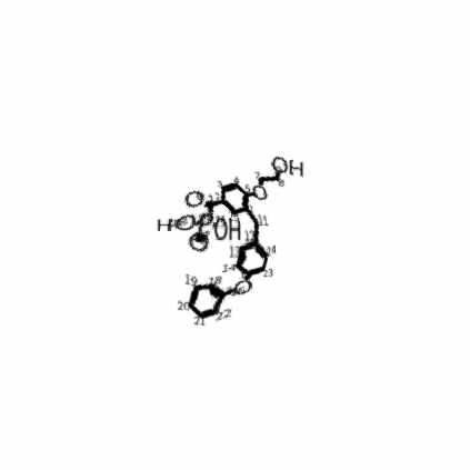 O=C(c1ccc(OCCO)c(Cc2ccc(Oc3ccccc3)cc2)c1)P(=O)(O)O